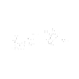 COc1nc(N)nc2c1ncn2[C@@H]1OC(CO[P@](=O)(N[C@H](C)C(=O)OC(C)C)SCC2C(=O)N(C)C(=O)N2C)[C@@H](O)[C@@]1(C)O